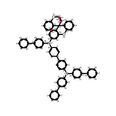 C1=CC(c2ccc(N(c3ccc(-c4ccccc4)cc3)c3ccc(-c4ccccc4)cc3)cc2)CC=C1N(c1ccc(-c2ccccc2)cc1)c1ccc2c(c1)Oc1ccccc1C21c2ccccc2Oc2ccccc21